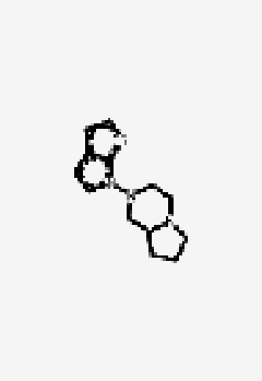 [c]1cc2ccsc2n1N1CCN2CCCC2C1